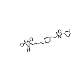 Cc1cccc(-c2nc(CCc3ccc(C=CC=CC=C4NC(=O)OC4=O)cc3)co2)c1